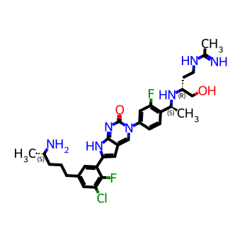 CC(=N)NCC[C@H](CO)N[C@@H](C)c1ccc(-n2cc3cc(-c4cc(CCC[C@H](C)N)cc(Cl)c4F)[nH]c3nc2=O)cc1F